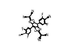 N#CC(C#N)=c1nc2c(-c3cc(F)c(C#N)c(F)c3)c3oc(=C(C#N)C#N)nc3c(-c3cc(F)c(C#N)c(F)c3)c2o1